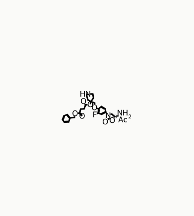 CC(=O)C(N)[C@@H]1CN(c2ccc(OCC3(OC(=O)CCC(=O)OCc4ccccc4)CCNCC3)c(F)c2)C(=O)O1